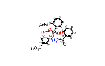 CC(=O)Nc1ccccc1[As](=O)(O)OO.NC(=O)c1ccccc1.O=C(O)c1ccsc1